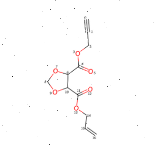 C#CCOC(=O)C1OCOC1C(=O)OCC=C